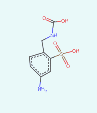 Nc1ccc(CNC(=O)O)c(S(=O)(=O)O)c1